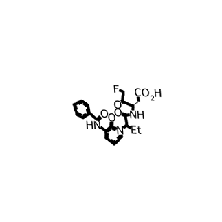 CCC(C(=O)N[C@@H](CC(=O)O)C(=O)CF)n1cccc(NC(=O)c2ccccc2)c1=O